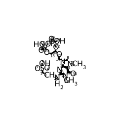 CCS(=O)(=O)O.CN1CN(COC2COP(=O)(O)OP(=O)(O)O2)c2nc(N)n(C)c(=O)c21